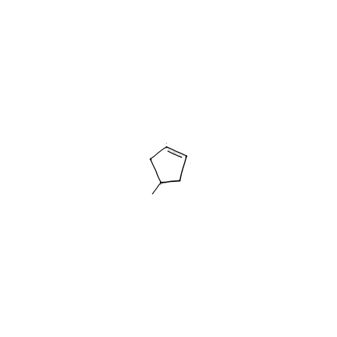 C[C]1CC=CC1